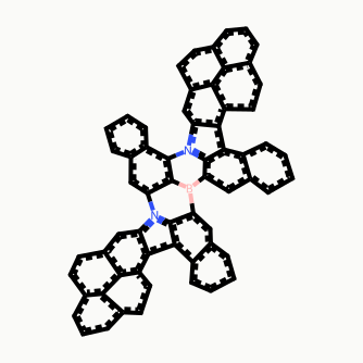 c1ccc2c3c4c(cc2c1)-n1c2cc5ccc6cccc7ccc(c5c67)c2c2c5ccccc5cc(c21)B4c1cc2ccccc2c2c4c5ccc6cccc7ccc(cc4n-3c12)c5c76